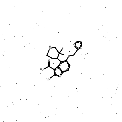 Cc1oc2ccc(OCc3nccs3)c(C3CCNCC3(F)F)c2c1C(N)=O